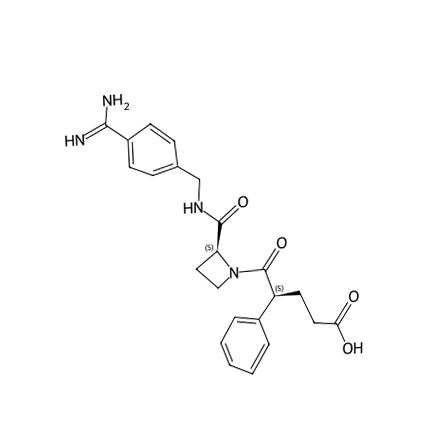 N=C(N)c1ccc(CNC(=O)[C@@H]2CCN2C(=O)[C@@H](CCC(=O)O)c2ccccc2)cc1